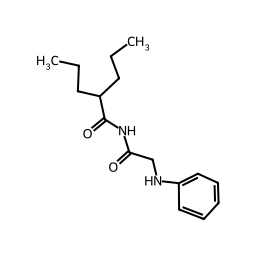 CCCC(CCC)C(=O)NC(=O)CNc1ccccc1